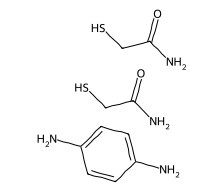 NC(=O)CS.NC(=O)CS.Nc1ccc(N)cc1